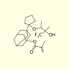 C=C(C)C(=O)OC12CC3CC(C1)CC(C1(OC(C)C(C)(O)C(F)(F)F)CCCC1)(C3)C2